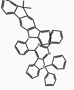 CC1(C)c2ccccc2-c2cc3c(cc21)c1ccccc1n3-c1ccccc1-c1nc(-c2ccccc2)nc2c1-c1ccccc1[Si]2(c1ccccc1)c1ccccc1